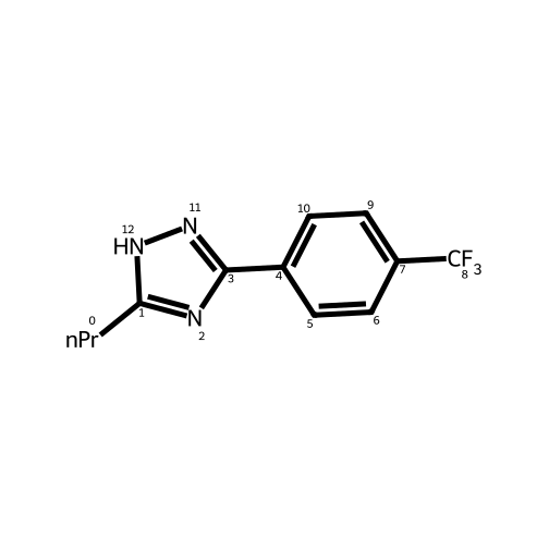 CCCc1nc(-c2ccc(C(F)(F)F)cc2)n[nH]1